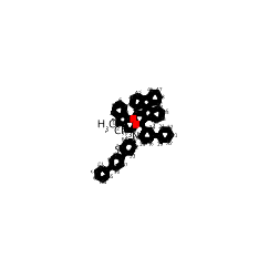 CC1(C)c2ccccc2-c2ccc(N(c3ccc(-c4ccccc4)cc3-c3cccc4c3-c3ccccc3C43c4ccccc4-c4ccccc43)C3C=Cc4c(sc5cc(-c6ccccc6)ccc45)C3)cc21